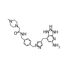 CN1CCN(CC(=O)NCc2ccc(Cn3cc(Cc4cc(N)nc5c4NNN5)cn3)cc2)CC1